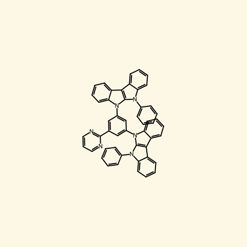 c1ccc(-n2c3ccccc3c3c4ccccc4n(-c4cc(-c5ncccn5)cc(-n5c6ccccc6c6c7ccccc7n(-c7ccccc7)c65)c4)c32)cc1